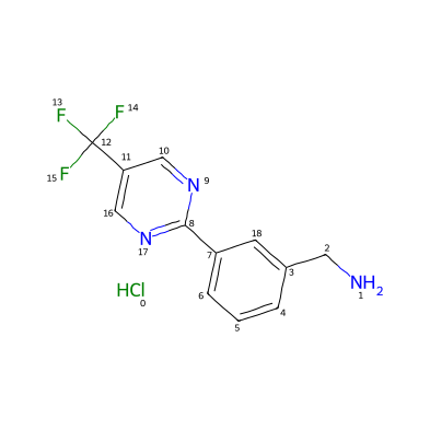 Cl.NCc1cccc(-c2ncc(C(F)(F)F)cn2)c1